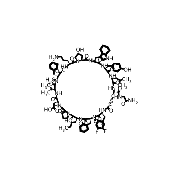 CCCC[C@H]1C(O)N2CCC[C@@H]2C(=O)N[C@@H](CC(=O)O)C(=O)N[C@@H](C(C)C)C(=O)N(C)[C@H](Cc2ccccc2)C(=O)CN[C@@H](CCCN)C(=O)N2C[C@H](O)CC2C(=O)N[C@@H](Cc2c[nH]c3ccccc23)C(=O)N[C@@H](Cc2ccc(O)cc2)C(=O)N[C@@H](CC(C)C)C(=O)N[C@H](C(=O)NCC(N)=O)CSCC(=O)N[C@@H](Cc2ccc(F)c(F)c2)C(=O)N(C)[C@@H](Cc2ccccc2)C(=O)N1C